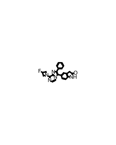 O=C1Cc2cc(-c3c(-c4ccccc4)nc4c(N5CC(F)C5)nccn34)ccc2N1